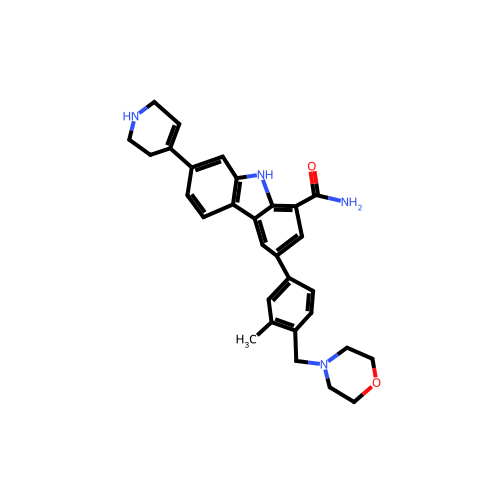 Cc1cc(-c2cc(C(N)=O)c3[nH]c4cc(C5=CCNCC5)ccc4c3c2)ccc1CN1CCOCC1